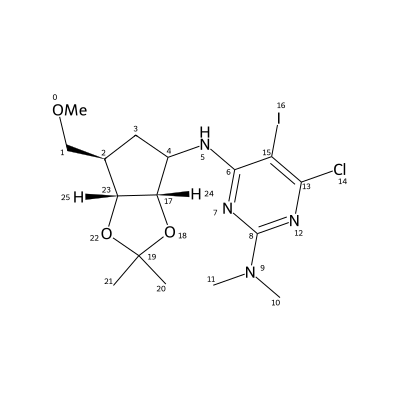 COC[C@H]1CC(Nc2nc(N(C)C)nc(Cl)c2I)[C@@H]2OC(C)(C)O[C@H]12